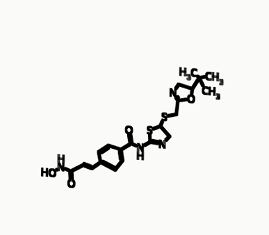 CC(C)(C)C1CN=C(CSC2CN=C(NC(=O)c3ccc(/C=C/C(=O)NO)cc3)S2)O1